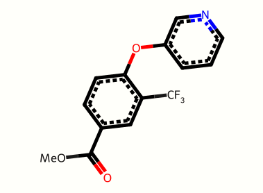 COC(=O)c1ccc(Oc2cccnc2)c(C(F)(F)F)c1